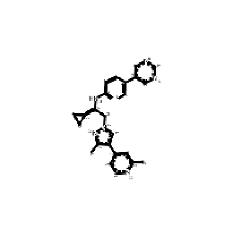 C=C(/C=C\C(=C/C)c1cncnc1)NC(Cn1cc(-c2ccnc(C)c2)c(C)n1)=C1CC1